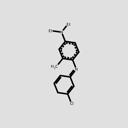 CCN(CC)c1ccc(N=C2C=CCC(Cl)=C2)c(C)c1